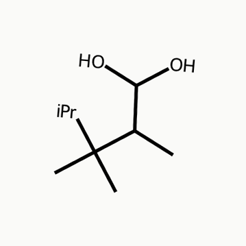 CC(C)C(C)(C)C(C)C(O)O